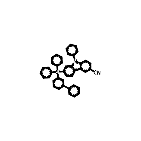 N#Cc1ccc2c(c1)c1ccc([Si](c3ccccc3)(c3ccccc3)c3cccc(-c4ccccc4)c3)cc1n2-c1ccccc1